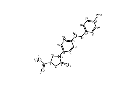 O=C(O)[C@H]1CC(=O)N(c2ccc(OCc3ccc(F)cc3)nc2)C1